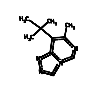 Cc1ncn2cnnc2c1C(C)(C)C